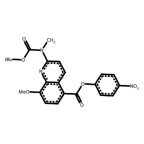 COc1ccc(C(=O)Oc2ccc([N+](=O)[O-])cc2)c2ccc(N(C)C(=O)OC(C)(C)C)nc12